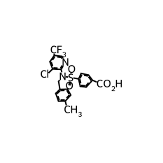 Cc1ccc(CN(c2ncc(C(F)(F)F)cc2Cl)S(=O)(=O)c2ccc(C(=O)O)cc2)cc1